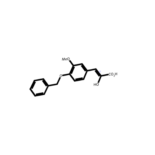 COc1cc(/C=C(\O)C(=O)O)ccc1OCc1ccccc1